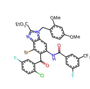 CCOC(=O)c1nc2c(Br)c(C(=O)c3cc(F)ccc3Cl)c(NC(=O)c3cc(F)cc(C(F)(F)F)c3)cc2n1Cc1ccc(OC)cc1OC